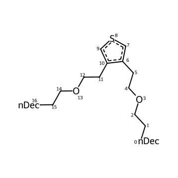 CCCCCCCCCCCCOCCc1cscc1CCOCCCCCCCCCCCC